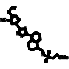 COCCS(=O)(=O)/N=C/C1CCCc2c(-c3nnc(-c4ccc(OC(C)C)c(C#N)c4)s3)cccc21